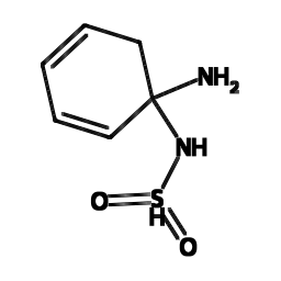 NC1(N[SH](=O)=O)C=CC=CC1